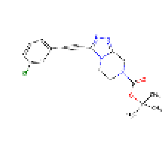 CC(C)(C)OC(=O)N1CCn2c(C#Cc3cccc(Cl)c3)nnc2C1